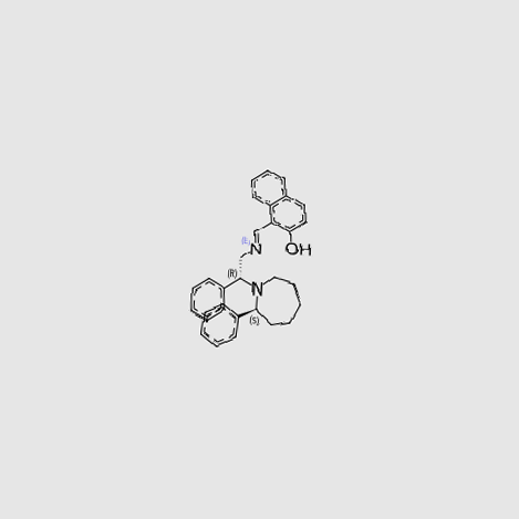 Oc1ccc2ccccc2c1/C=N/C[C@@H](c1ccccc1)N1CCCCC[C@H]1c1ccccc1